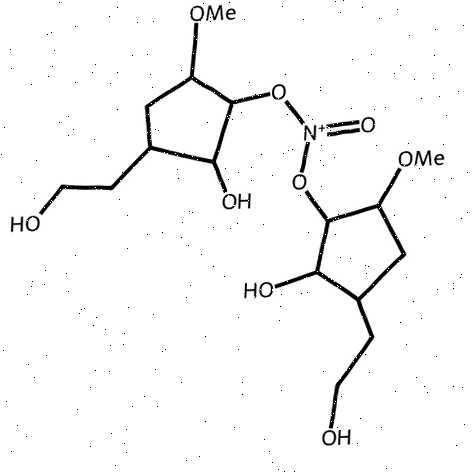 COC1CC(CCO)C(O)C1O[N+](=O)OC1C(OC)CC(CCO)C1O